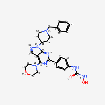 O=C(NO)Nc1ccc(-c2nc(N3CCOCC3)c3cnn(C4CCN(Cc5ccccc5)CC4)c3n2)cc1